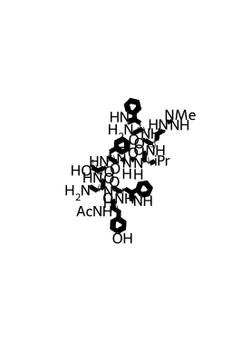 CNC(=N)NCCC[C@H](NC(=O)[C@H](CC(C)C)NC(=O)NNC(=O)[C@H](Cc1ccccc1)NC(=O)[C@@H](NC(=O)[C@H](CCN)NC(=O)[C@@H](Cc1c[nH]c2ccccc12)NC(=O)[C@@H](Cc1ccc(O)cc1)NC(C)=O)[C@@H](C)O)C(=O)N[C@@H](Cc1c[nH]c2ccccc12)C(N)=O